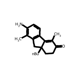 CCCCC12CCC(=O)C(C)=C1c1ccc(N)c(C)c1C2